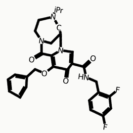 CC(C)N1CCN2CC(C1)n1cc(C(=O)NCc3ccc(F)cc3F)c(=O)c(OCc3ccccc3)c1C2=O